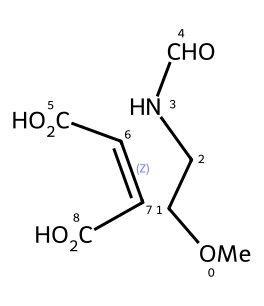 COCCNC=O.O=C(O)/C=C\C(=O)O